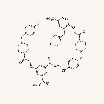 COC(=O)c1cc(OCC(=O)N2CCN(Cc3ccc(Cl)cc3)CC2)cc(C(=O)OC)c1.O=C(O)c1ccc(OCC(=O)N2CCN(Cc3ccc(Cl)cc3)CC2)c(CN2CCOCC2)c1